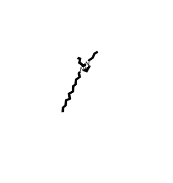 CCCCCCCCCCCC[n+]1ccn(CCCC)c1CCC